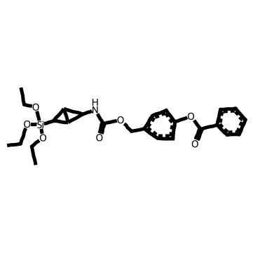 CCO[Si](OCC)(OCC)C1C2C(NC(=O)OCc3ccc(OC(=O)c4ccccc4)cc3)C21